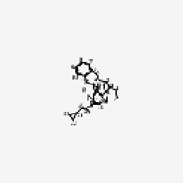 CC[C@H](CCCc1ccccc1[C@@H](C)N)c1cnc(SCC2CC2)cn1